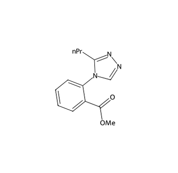 CCCc1nncn1-c1ccccc1C(=O)OC